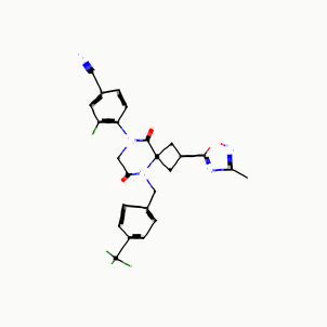 Cc1noc(C2CC3(C2)C(=O)N(c2ccc(C#N)cc2F)CC(=O)N3Cc2ccc(C(F)(F)F)cc2)n1